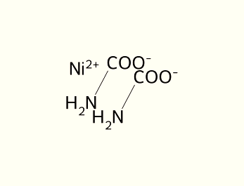 NC(=O)[O-].NC(=O)[O-].[Ni+2]